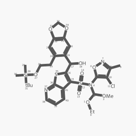 CCOC(OC)N(c1onc(C)c1Cl)S(=O)(=O)c1c(C(O)c2cc3c(cc2CCO[Si](C)(C)C(C)(C)C)OCO3)sc2ncccc12